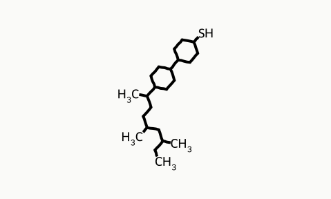 CCC(C)CC(C)CCC(C)C1CCC(C2CCC(S)CC2)CC1